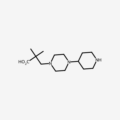 CC(C)(CN1CCN(C2CCNCC2)CC1)C(=O)O